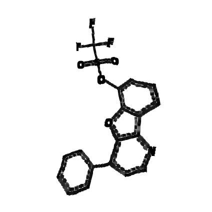 O=S(=O)(Oc1cccc2c1oc1c(-c3ccccc3)ccnc12)C(F)(F)F